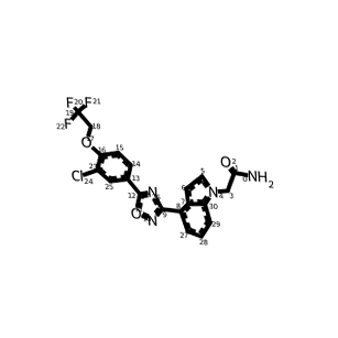 NC(=O)Cn1ccc2c(-c3noc(-c4ccc(OCC(F)(F)F)c(Cl)c4)n3)cccc21